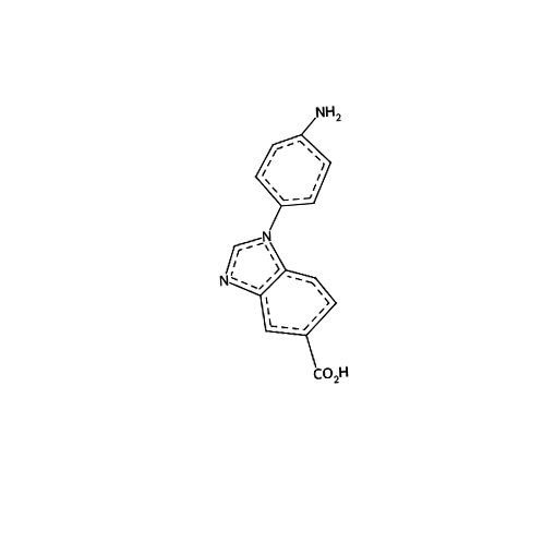 Nc1ccc(-n2cnc3cc(C(=O)O)ccc32)cc1